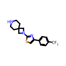 FC(F)(F)c1ccc(-c2csc(N3CC4(CCNCC4)C3)n2)cc1